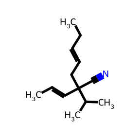 CC=CC(C#N)(CC=CCC)C(C)C